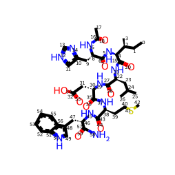 CC[C@H](C)[C@H](NC(=O)[C@H](Cc1c[nH]cn1)NC(C)=O)C(=O)N[C@@H](CC(C)C)C(=O)N[C@@H](CC(=O)O)C(=O)N[C@@H](CCSC)C(=O)N[C@@H](Cc1c[nH]c2ccccc12)C(N)=O